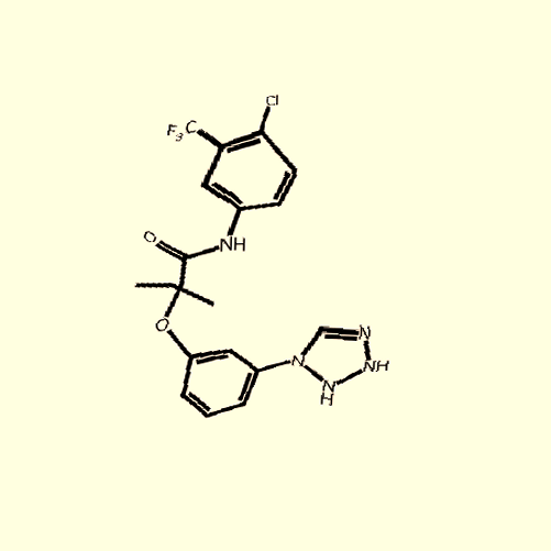 CC(C)(Oc1cccc(N2C=NNN2)c1)C(=O)Nc1ccc(Cl)c(C(F)(F)F)c1